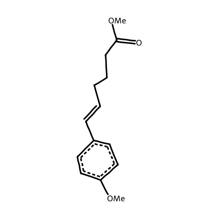 COC(=O)CCCC=Cc1ccc(OC)cc1